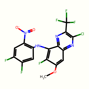 COc1cc2nc(Cl)c(C(F)(F)F)nc2c(Nc2cc(F)c(F)cc2[N+](=O)[O-])c1F